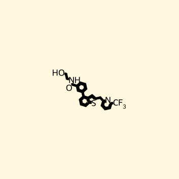 O=C(NCCO)c1cccc(-c2cccc3sc(Cc4cccc(C(F)(F)F)n4)cc23)c1